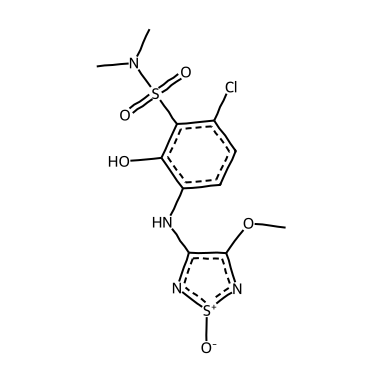 COc1n[s+]([O-])nc1Nc1ccc(Cl)c(S(=O)(=O)N(C)C)c1O